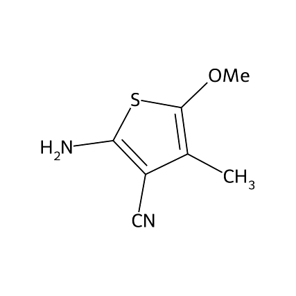 COc1sc(N)c(C#N)c1C